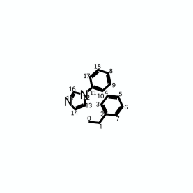 CCc1ccccc1.c1ccc(-n2ccnc2)cc1